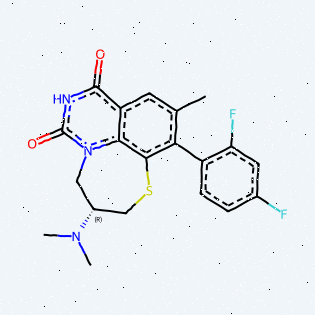 Cc1cc2c(=O)[nH]c(=O)n3c2c(c1-c1ccc(F)cc1F)SC[C@H](N(C)C)C3